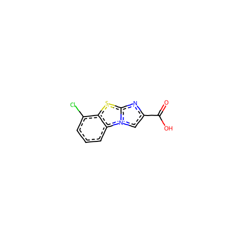 O=C(O)c1cn2c(n1)sc1c(Cl)cccc12